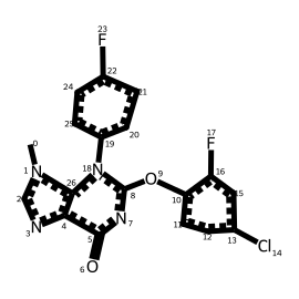 Cn1cnc2c(=O)nc(Oc3ccc(Cl)cc3F)n(-c3ccc(F)cc3)c21